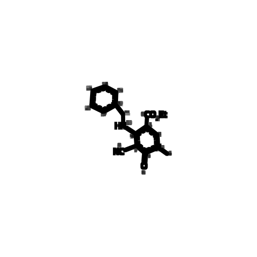 CCOC(=O)c1cn(C)c(=O)c(C#N)c1NCc1ccccc1